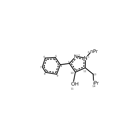 CCCn1nc(-c2ccccc2)c(O)c1CC(C)C